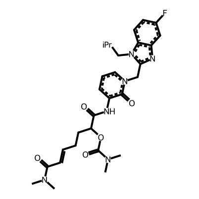 CC(C)Cn1c(Cn2cccc(NC(=O)C(CCC=CC(=O)N(C)C)OC(=O)N(C)C)c2=O)nc2cc(F)ccc21